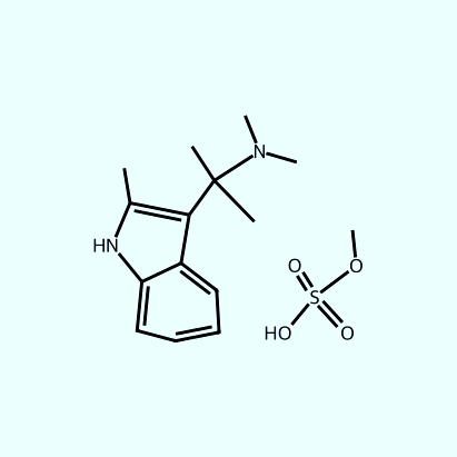 COS(=O)(=O)O.Cc1[nH]c2ccccc2c1C(C)(C)N(C)C